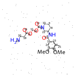 COc1cc(C(=O)NC2CCCN(C(=O)OCOC(=O)CCN)C2)cc(C)c1OC